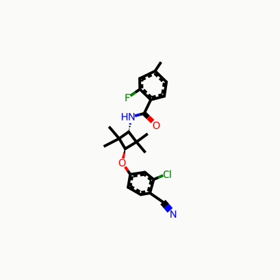 Cc1ccc(C(=O)N[C@H]2C(C)(C)[C@H](Oc3ccc(C#N)c(Cl)c3)C2(C)C)c(F)c1